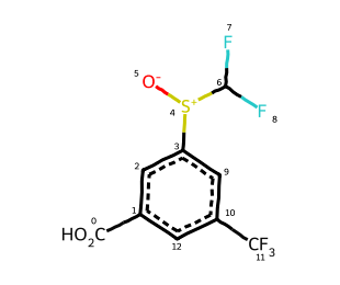 O=C(O)c1cc([S+]([O-])C(F)F)cc(C(F)(F)F)c1